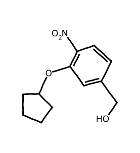 O=[N+]([O-])c1ccc(CO)cc1OC1CCCC1